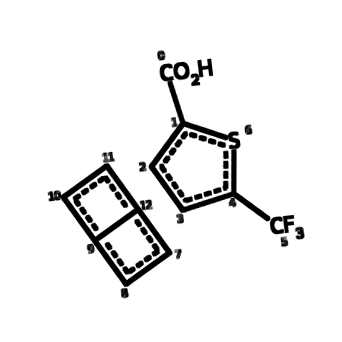 O=C(O)c1ccc(C(F)(F)F)s1.c1cc2ccc1-2